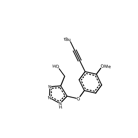 COc1ccc(Oc2[nH]nnc2CO)cc1C#CC(C)(C)C